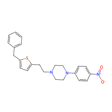 O=[N+]([O-])c1ccc(N2CCN(CCc3ccc(Cc4ccccc4)s3)CC2)cc1